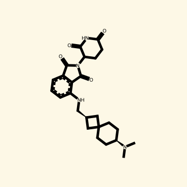 CN(C)[C@H]1CCC2(CC1)C[C@H](CNc1cccc3c1C(=O)N(C1CCC(=O)NC1=O)C3=O)C2